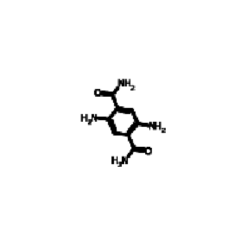 NC(=O)c1cc(N)c(C(N)=O)cc1N